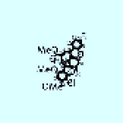 COC(=O)C1=CC(c2ccc(F)cc2)C2=C(N1)C1(Oc3c(Cl)c(OC)cc(OC)c3C1=O)C(C)CC2=O